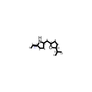 C/C=C1\CCC(CC2CCC(C(C)C)O2)N1